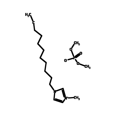 CCCCCCCCCCCn1cc[n+](C)c1.COP(=O)([O-])OC